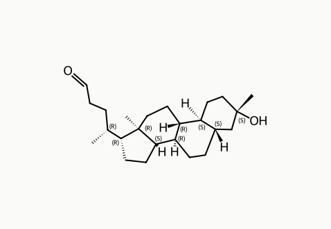 C[C@H](CCC=O)[C@H]1CC[C@H]2[C@@H]3CC[C@H]4C[C@@](C)(O)CC[C@@H]4[C@H]3CC[C@]12C